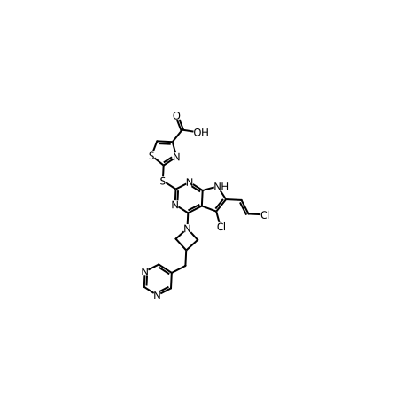 O=C(O)c1csc(Sc2nc(N3CC(Cc4cncnc4)C3)c3c(Cl)c(/C=C/Cl)[nH]c3n2)n1